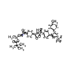 Cc1ccc(-c2cc(C(F)(F)F)nn2-c2ccc(S(=O)(=O)NC(=O)C3CCN(/[N+]([O-])=N/OC(C)OC(=O)C(C)(C)C)CC3)cc2)cc1